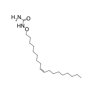 CCCCCCCC/C=C\CCCCCCCCONC(N)=O